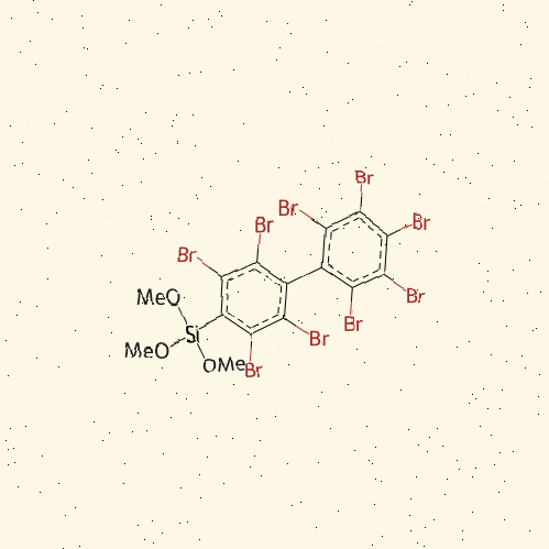 CO[Si](OC)(OC)c1c(Br)c(Br)c(-c2c(Br)c(Br)c(Br)c(Br)c2Br)c(Br)c1Br